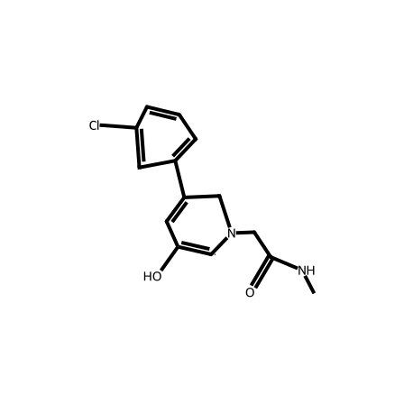 CNC(=O)CN1[C]=C(O)C=C(c2cccc(Cl)c2)C1